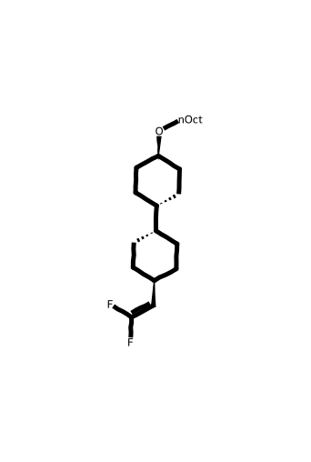 CCCCCCCCO[C@H]1CC[C@H]([C@H]2CC[C@H](C=C(F)F)CC2)CC1